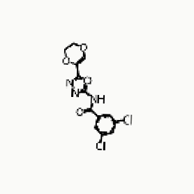 O=C(Nc1nnc(C2=COCCO2)o1)c1cc(Cl)cc(Cl)c1